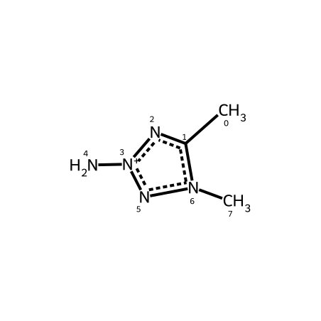 Cc1n[n+](N)nn1C